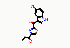 CCC(=O)c1csc(C(=O)c2c[nH]c3ccc(Cl)cc23)n1